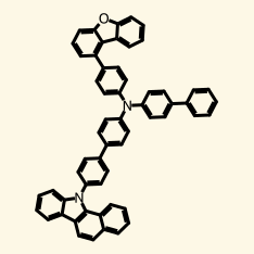 c1ccc(-c2ccc(N(c3ccc(-c4ccc(-n5c6ccccc6c6ccc7ccccc7c65)cc4)cc3)c3ccc(-c4cccc5oc6ccccc6c45)cc3)cc2)cc1